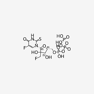 O=c1[nH]c(=S)n([C@@H]2O[C@H](COP(=O)(O)OP(=O)(O)OP(=O)(O)O)[C@H](O)C2(O)CF)cc1F